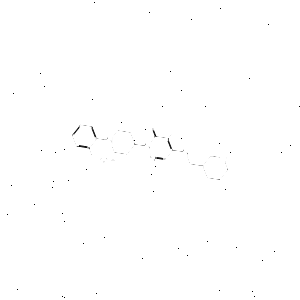 COc1ccccc1N1CCC(n2ncc(NCC3CCCOC3)c(Cl)c2=O)CC1